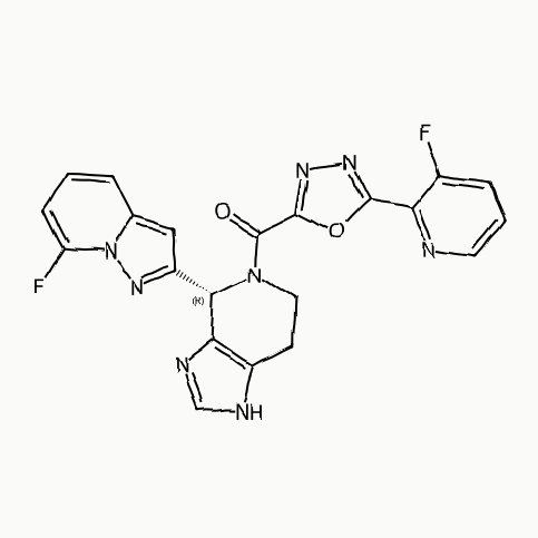 O=C(c1nnc(-c2ncccc2F)o1)N1CCc2[nH]cnc2[C@@H]1c1cc2cccc(F)n2n1